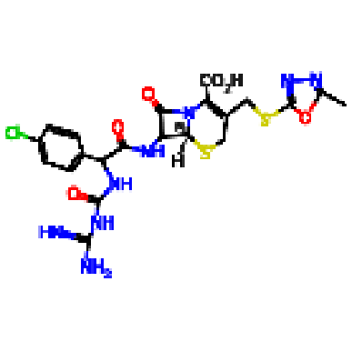 Cc1nnc(SCC2=C(C(=O)O)N3C(=O)C(NC(=O)C(NC(=O)NC(=N)N)c4ccc(Cl)cc4)[C@@H]3SC2)o1